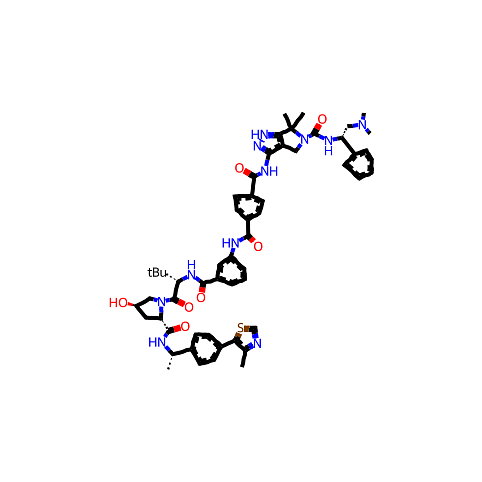 Cc1ncsc1-c1ccc([C@H](C)NC(=O)[C@@H]2C[C@@H](O)CN2C(=O)[C@@H](NC(=O)c2cccc(NC(=O)c3ccc(C(=O)Nc4n[nH]c5c4CN(C(=O)N[C@H](CN(C)C)c4ccccc4)C5(C)C)cc3)c2)C(C)(C)C)cc1